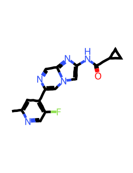 Cc1cc(-c2cn3cc(NC(=O)C4CC4)nc3cn2)c(F)cn1